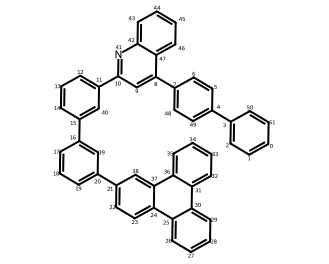 c1ccc(-c2ccc(-c3cc(-c4cccc(-c5cccc(-c6ccc7c8ccccc8c8ccccc8c7c6)c5)c4)nc4ccccc34)cc2)cc1